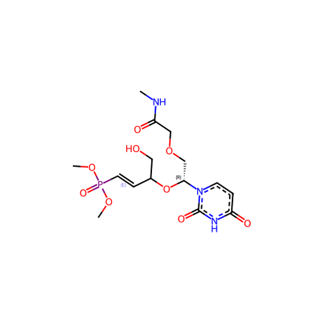 CNC(=O)COC[C@@H](OC(/C=C/P(=O)(OC)OC)CO)n1ccc(=O)[nH]c1=O